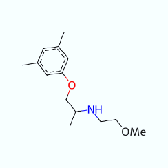 COCCNC(C)COc1cc(C)cc(C)c1